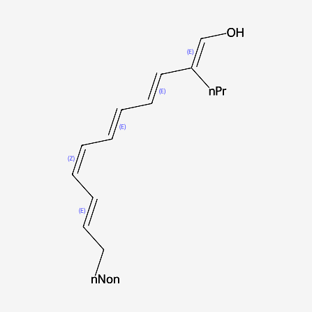 CCCCCCCCCC/C=C/C=C\C=C\C=C\C(=C\O)CCC